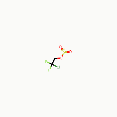 O=[SH](=O)OCC(F)(F)Cl